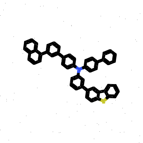 c1ccc(-c2ccc(N(c3ccc(-c4cccc(-c5cccc6ccccc56)c4)cc3)c3cccc(-c4ccc5sc6ccccc6c5c4)c3)cc2)cc1